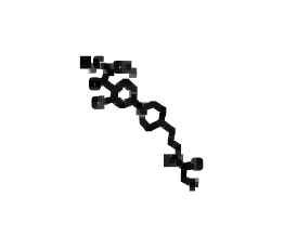 CN(C)C(=O)c1ccc(N2CCC(CCCNC(=O)CF)CC2)cc1Cl